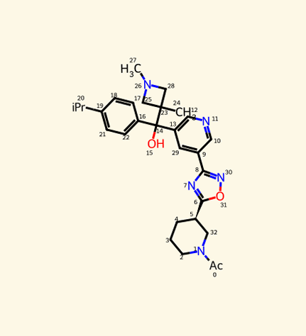 CC(=O)N1CCC[C@@H](c2nc(-c3cncc(C(O)(c4ccc(C(C)C)cc4)C4(C)CN(C)C4)c3)no2)C1